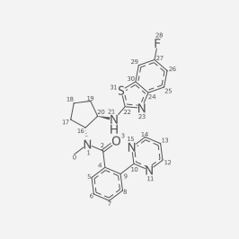 CN(C(=O)c1ccccc1-c1ncccn1)[C@@H]1CCC[C@H]1Nc1nc2ccc(F)cc2s1